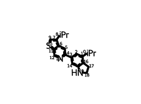 CC(C)c1cc(-c2cc3c(C(C)C)csc3cn2)cc2c1CCN2